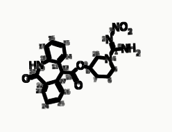 NC(=N[N+](=O)[O-])N1CCCC(OC(=O)C2c3ccccc3NC(=O)c3ccccc32)C1